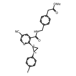 COC(=O)Cc1ccc(CNC(=O)c2cc(C#N)cnc2[C@H]2C[C@H]2c2ccc(F)cc2)cc1